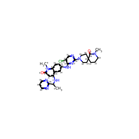 CC(Nc1cc(=O)n(C)c2ccc(Nc3nc(N4CCC5(CCCN(C)C5=O)CC4)ncc3Cl)cc12)c1ncccn1